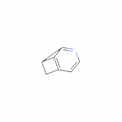 c1cc2c3c(n1)C3C2